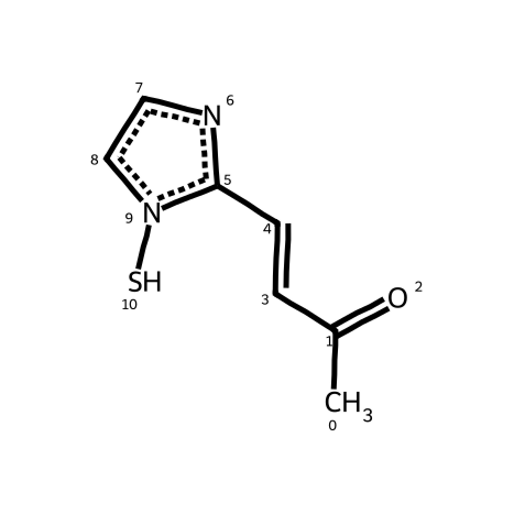 CC(=O)C=Cc1nccn1S